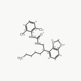 CCCCCC(CNC(=O)Nc1c(Cl)cccc1Cl)c1cccc2c1OCO2